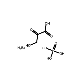 O=C(O)C(=O)CO.O=P(O)(O)O.[BaH2]